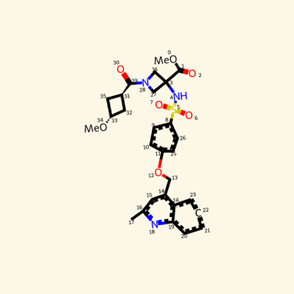 COC(=O)C1(NS(=O)(=O)c2ccc(OCc3cc(C)nc4ccccc34)cc2)CN(C(=O)[C@H]2C[C@H](OC)C2)C1